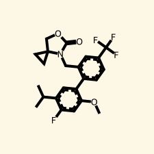 COc1cc(F)c(C(C)C)cc1-c1ccc(C(F)(F)F)cc1CN1C(=O)OCC12CC2